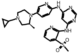 C[C@H]1CN(C2CC2)CCN1c1ccc(Nc2cc(Nc3ncccc3S(C)(=O)=O)ncn2)nc1